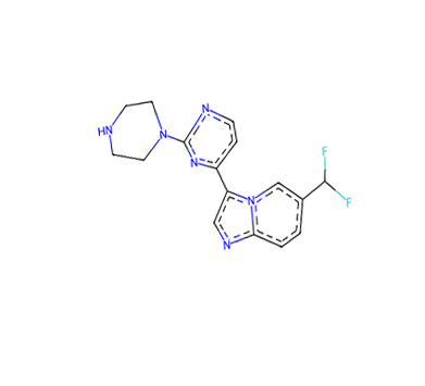 FC(F)c1ccc2ncc(-c3ccnc(N4CCNCC4)n3)n2c1